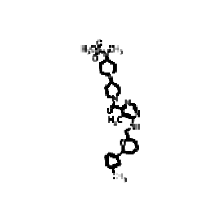 Cc1cccc([C@@H]2CCCC(CNc3ncnc(C(=O)N4CCC(N5CCC(N(C)S(C)(=O)=O)CC5)CC4)c3C)O2)c1